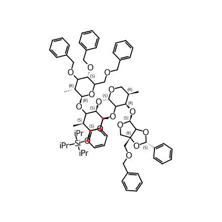 CC1O[C@@H](O[Si](C(C)C)(C(C)C)C(C)C)[C@@H](C)C(O[C@@H]2OC(COCc3ccccc3)[C@@H](OCc3ccccc3)C(OCc3ccccc3)[C@H]2C)[C@H]1O[C@@H]1OC[C@@H](C)[C@@H](O[C@@H]2OC[C@@]3(COCc4ccccc4)O[C@@H](c4ccccc4)OC23)C1OCc1ccccc1